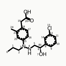 CCCN(NC[C@H](O)c1cccc(Cl)c1)c1ccc(CC(=O)O)c(C)c1